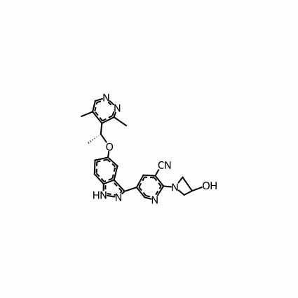 Cc1cnnc(C)c1[C@@H](C)Oc1ccc2[nH]nc(-c3cnc(N4CC(O)C4)c(C#N)c3)c2c1